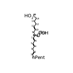 CCCCCC=CCC=CC=C[C@@H](CC=CCCCC(=O)O)OOO